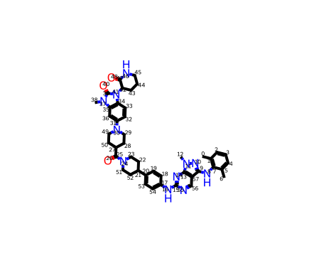 Cc1cccc(C)c1Nc1nn(C)c2nc(Nc3ccc(C4CCN(C(=O)C5CCN(c6ccc7c(c6)n(C)c(=O)n7C6CCCNC6=O)CC5)CC4)cc3)ncc12